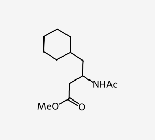 COC(=O)CC(CC1CCCCC1)NC(C)=O